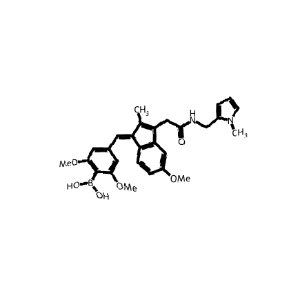 COc1ccc2c(c1)C(CC(=O)NCc1cccn1C)=C(C)/C2=C/c1cc(OC)c(B(O)O)c(OC)c1